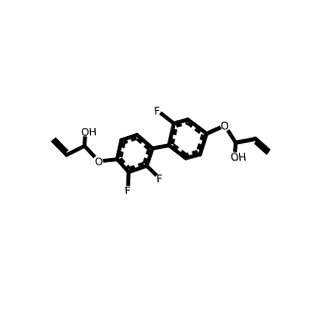 C=CC(O)Oc1ccc(-c2ccc(OC(O)C=C)c(F)c2F)c(F)c1